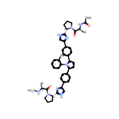 COC(=O)N[C@H](C(=O)N1CCC[C@H]1c1nc(-c2ccc(-c3ccc(-c4ccc(-c5c[nH]c([C@@H]6CCCN6C(=O)[C@@H](NC(=O)O)C(C)C)n5)cc4)n3-c3ccccc3C(C)(C)C)cc2)c[nH]1)C(C)C